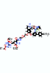 CC(C)(C)OC(=O)/N=C(/NCCCC(NC(=O)OC(C)(C)C)C(=O)NCCOCCOc1cc2c(cc1Oc1ccc(-c3ccc(C(=O)O)cc3)c(F)c1)[C@@](C)(CC(=O)Nc1nccs1)NCC2)NC(=O)OC(C)(C)C